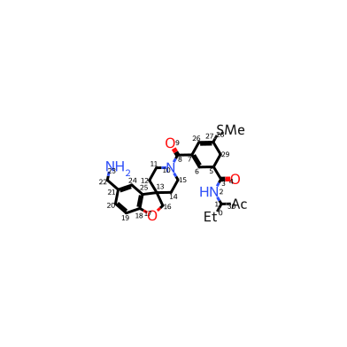 CCC(NC(=O)C1C=C(C(=O)N2CCC3(CC2)COc2ccc(CN)cc23)C=C(SC)C1)C(C)=O